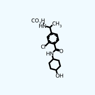 CC(NC(=O)O)c1ccc(C(=O)NC2CCC(O)CC2)c(Cl)c1